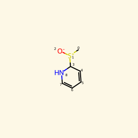 C[S+]([O-])C1C=CC=CN1